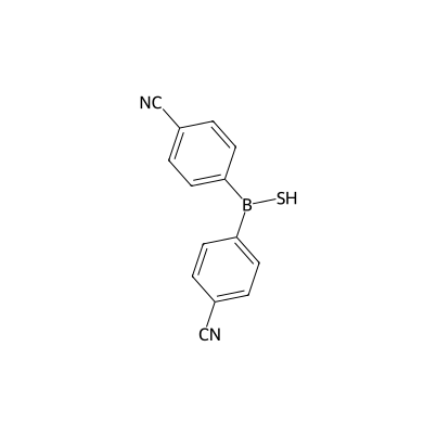 N#Cc1ccc(B(S)c2ccc(C#N)cc2)cc1